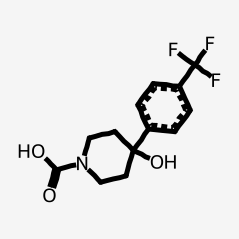 O=C(O)N1CCC(O)(c2ccc(C(F)(F)F)cc2)CC1